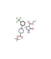 CCOC(=O)C1C(=O)NC[C@@H]1c1ccc(C(F)(F)F)cc1N1CCC(C(=O)OC(C)(C)C)CC1